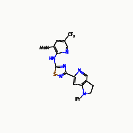 CNc1cc(C(F)(F)F)cnc1Nc1nc(-c2cc3c(cn2)CCN3C(C)C)ns1